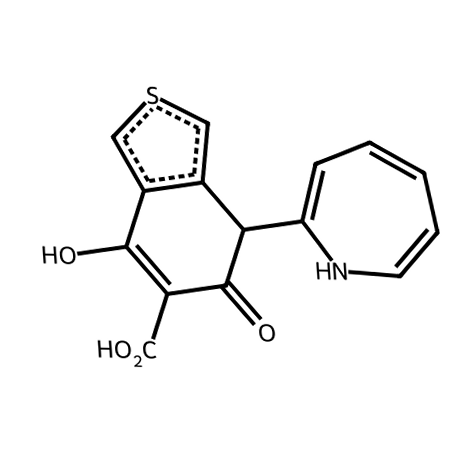 O=C(O)C1=C(O)c2cscc2C(C2=CC=CC=CN2)C1=O